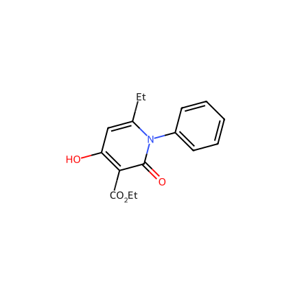 CCOC(=O)c1c(O)cc(CC)n(-c2ccccc2)c1=O